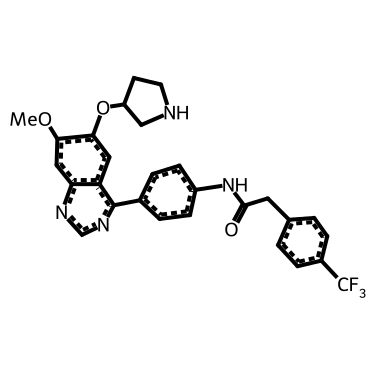 COc1cc2ncnc(-c3ccc(NC(=O)Cc4ccc(C(F)(F)F)cc4)cc3)c2cc1OC1CCNC1